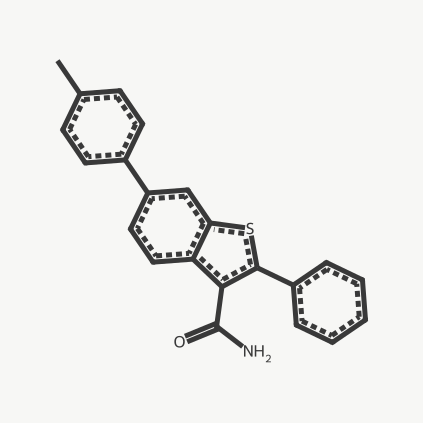 Cc1ccc(-c2ccc3c(C(N)=O)c(-c4ccccc4)sc3c2)cc1